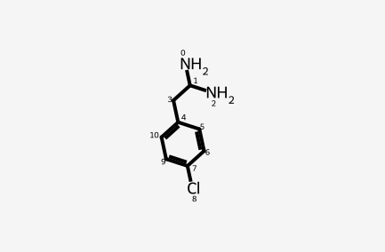 NC(N)Cc1ccc(Cl)cc1